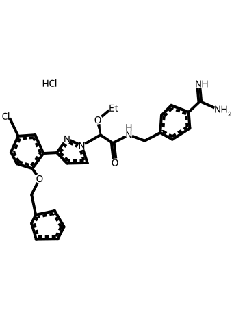 CCO[C@@H](C(=O)NCc1ccc(C(=N)N)cc1)n1ccc(-c2cc(Cl)ccc2OCc2ccccc2)n1.Cl